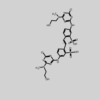 CN(CCO)c1nc(Cl)nc(Nc2ccc(/C=C/c3ccc(Nc4nc(Cl)nc(N(C)CCO)n4)cc3S(=O)(=O)O)c(S(=O)(=O)O)c2)n1